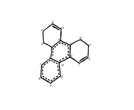 C1=Cc2c(c3c(c4ccccc24)CCC=C3)CC1